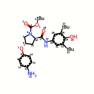 CC(C)(C)OC(=O)N1C[C@@H](Oc2ccc(N)cc2)C[C@@H]1C(=O)Nc1cc(C(C)(C)C)c(O)c(C(C)(C)C)c1